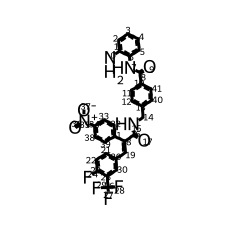 Nc1ccccc1NC(=O)c1ccc(CNC(=O)C(=Cc2ccc(F)c(C(F)(F)F)c2)c2ccc([N+](=O)[O-])cc2)cc1